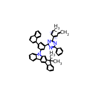 C=C/C=C(\C=C/C)c1nc(-c2ccccc2)nc(-c2cc(-c3cccc4ccccc34)cc(-n3c4ccccc4c4cc5c(cc43)C(C)(C)c3ccccc3-5)c2)n1